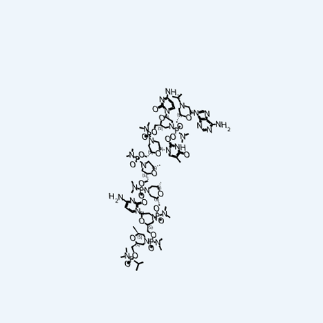 Cc1cn([C@H]2CN(P(=O)(OC[C@@H]3CN(P(=O)(OC[C@@H]4CN(C(C)C)C[C@H](n5cnc6c(N)ncnc65)O4)N(C)C)C[C@H](n4ccc(N)nc4=O)O3)N(C)C)C[C@@H](COP(=O)(N(C)C)N3C[C@@H](COP(=O)(N(C)C)N4C[C@@H](COP(=O)(N(C)C)N5C[C@@H](COP(=O)(N(C)C)N6C[C@@H](COP(=O)(C(C)C)N(C)C)O[C@@H](C)C6)O[C@@H](n6ccc(N)nc6=O)C5)O[C@@H](C)C4)O[C@@H](C)C3)O2)c(=O)[nH]c1=O